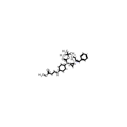 CC/C(=C\c1ccccc1)[C@@H]1C[C@H]1N(C(=O)OC(C)(C)C)C1CCC(NCCC(=O)OC)CC1